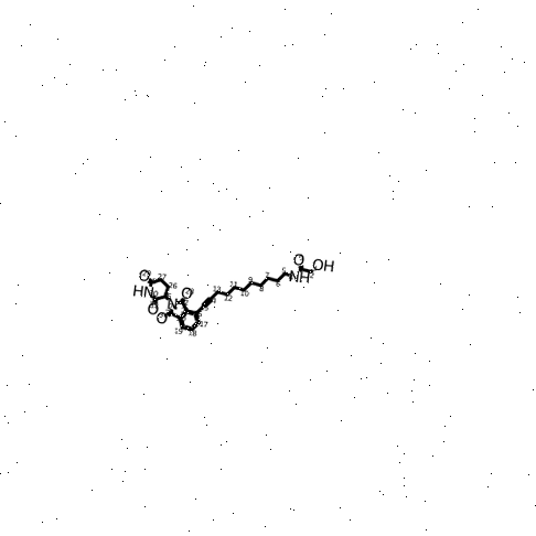 O=C(CO)NCCCCCCCCCC#Cc1cccc2c1C(=O)N(C1CCC(=O)NC1=O)C2=O